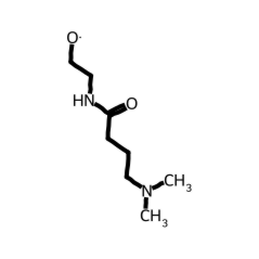 CN(C)CCCC(=O)NCC[O]